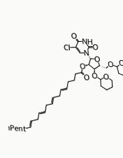 CCCCCC=CCC=CCC=CCC=CCCCC(=O)O[C@@H]1[C@H](OC2CCCCO2)[C@@H](COC2CCCCO2)O[C@H]1n1cc(Cl)c(=O)[nH]c1=O